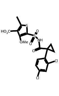 COc1c(S(=O)(=O)NC(=O)C2(c3ccc(Cl)cc3Cl)CC2)sc(C)c1C(=O)O